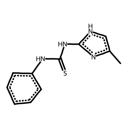 Cc1c[nH]c(NC(=S)Nc2ccccc2)n1